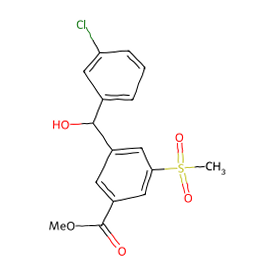 COC(=O)c1cc(C(O)c2cccc(Cl)c2)cc(S(C)(=O)=O)c1